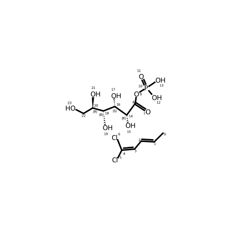 CC=CC=C(Cl)Cl.O=C(OP(=O)(O)O)[C@H](O)[C@@H](O)[C@H](O)[C@H](O)CO